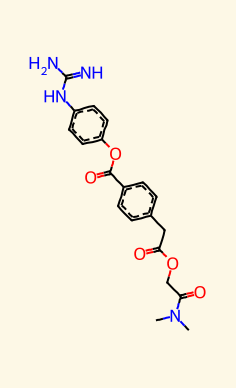 CN(C)C(=O)COC(=O)Cc1ccc(C(=O)Oc2ccc(NC(=N)N)cc2)cc1